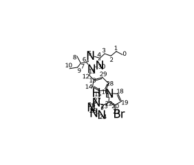 CCCCc1nc(C(C)CC)n(Cc2ccc(-n3ccc(Br)c3-c3nnn[nH]3)cc2)n1